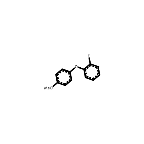 COc1ccc(Oc2ccc[c]c2F)cc1